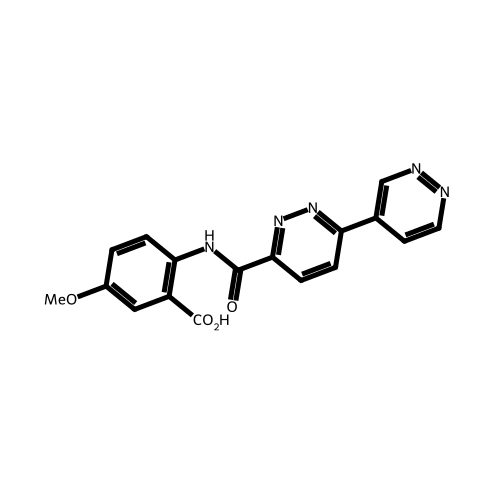 COc1ccc(NC(=O)c2ccc(-c3ccnnc3)nn2)c(C(=O)O)c1